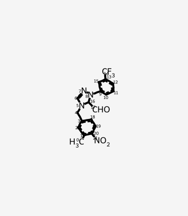 Cc1cc(CN2C=NN(c3cccc(C(F)(F)F)c3)C2C=O)ccc1[N+](=O)[O-]